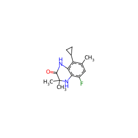 Cc1cc(F)c2c(c1C1CC1)NC(=O)C(C)(C)N2